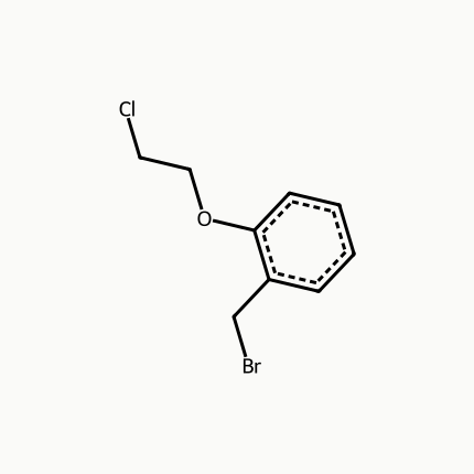 ClCCOc1ccccc1CBr